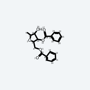 CC1OC(COC(=O)c2ccccc2)C(OC(=O)c2ccccc2)C1O